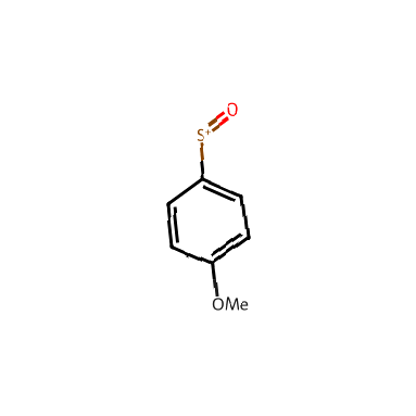 COc1ccc([S+]=O)cc1